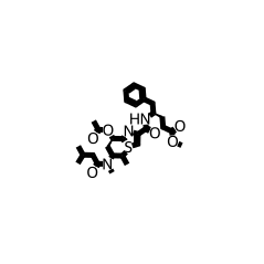 COC(=O)CC[C@H](Cc1ccccc1)NC(=O)c1csc([C@@H](CC(C(C)C)N(C)C(=O)CC(C)C)OC(C)=O)n1